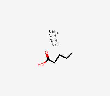 CCCCC(=O)O.[CaH2].[NaH].[NaH].[NaH]